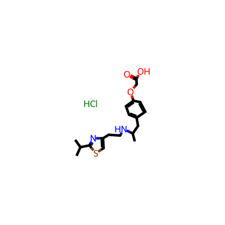 CC(Cc1ccc(OCC(=O)O)cc1)NCCc1csc(C(C)C)n1.Cl